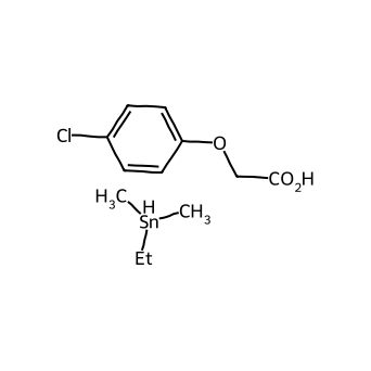 C[CH2][SnH]([CH3])[CH3].O=C(O)COc1ccc(Cl)cc1